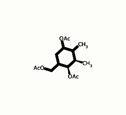 CC(=O)OCC1CC(OC(C)=O)C(C)[C@@H](C)[C@H]1OC(C)=O